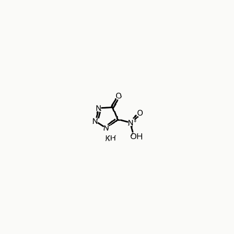 O=C1N=NN=C1[N+](=O)O.[KH]